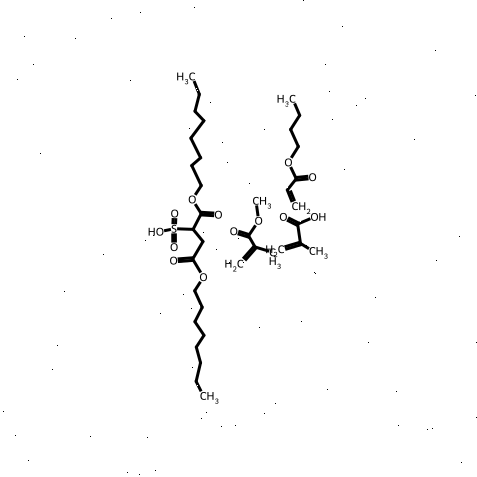 C=C(C)C(=O)O.C=C(C)C(=O)OC.C=CC(=O)OCCCC.CCCCCCCCOC(=O)CC(C(=O)OCCCCCCCC)S(=O)(=O)O